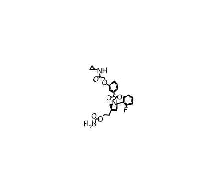 NC(=O)OCCc1cc(-c2ccccc2F)n(S(=O)(=O)c2cccc(OCC(=O)NC3CC3)c2)c1